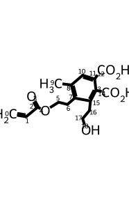 C=CC(=O)OCCc1c(C)cc(C(=O)O)c(C(=O)O)c1CCO